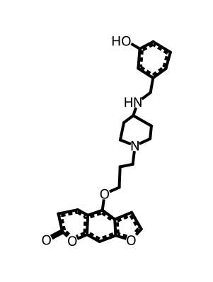 O=c1ccc2c(OCCCN3CCC(NCc4cccc(O)c4)CC3)c3ccoc3cc2o1